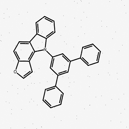 c1ccc(-c2cc(-c3ccccc3)cc(-n3c4ccccc4c4ccc5occc5c43)c2)cc1